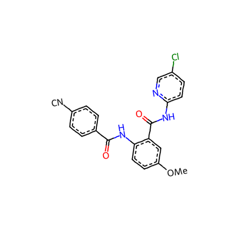 [C-]#[N+]c1ccc(C(=O)Nc2ccc(OC)cc2C(=O)Nc2ccc(Cl)cn2)cc1